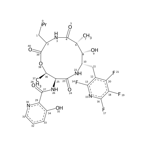 CC(C)CC1NC(=O)[C@H](C)[C@H](O)[C@H](Cc2c(F)nc(F)c(F)c2F)NC(=O)[C@@H](NC(=O)c2ncccc2O)[C@@H](C)OC1=O